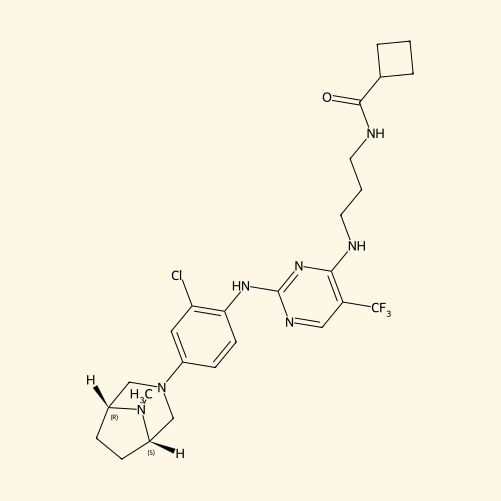 CN1[C@@H]2CC[C@H]1CN(c1ccc(Nc3ncc(C(F)(F)F)c(NCCCNC(=O)C4CCC4)n3)c(Cl)c1)C2